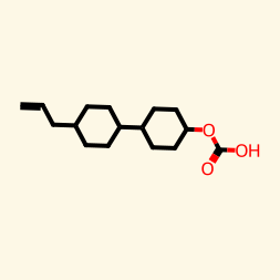 C=CCC1CCC(C2CCC(OC(=O)O)CC2)CC1